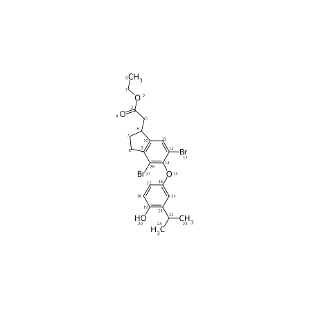 CCOC(=O)CC1CCc2c1cc(Br)c(Oc1ccc(O)c(C(C)C)c1)c2Br